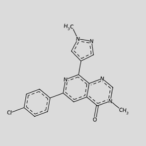 Cn1cc(-c2nc(-c3ccc(Cl)cc3)cc3c(=O)n(C)cnc23)cn1